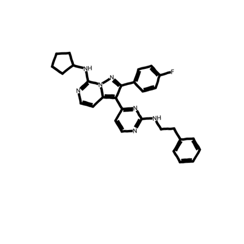 Fc1ccc(-c2nn3c(NC4CCCC4)nccc3c2-c2ccnc(NCCc3ccccc3)n2)cc1